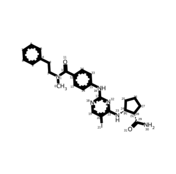 CN(CCc1ccccc1)C(=O)c1ccc(Nc2ncc(I)c(N[C@@H]3CCC[C@@H]3C(N)=O)n2)cc1